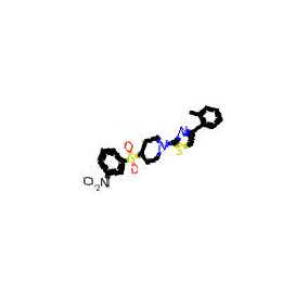 Cc1ccccc1-c1csc(N2CCC(S(=O)(=O)c3cccc([N+](=O)[O-])c3)CC2)n1